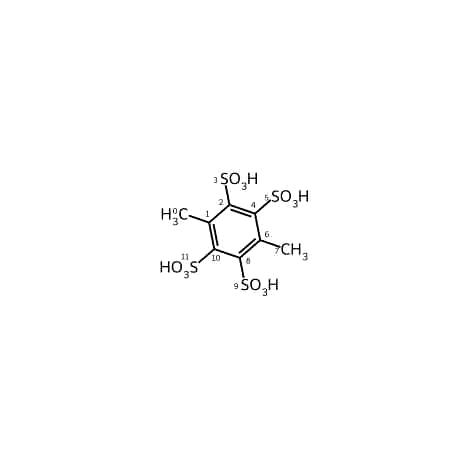 Cc1c(S(=O)(=O)O)c(S(=O)(=O)O)c(C)c(S(=O)(=O)O)c1S(=O)(=O)O